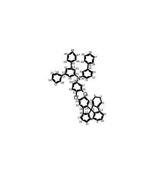 C1=C2C(=CCC1)C1(c3ccccc32)c2ccccc2-c2cc3c(cc21)Oc1cc(N(c2cccc(-c4ccccc4)c2)c2cc(-c4ccccc4)cc(-c4ccccc4)c2)ccc1O3